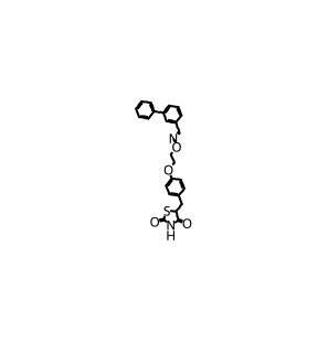 O=C1NC(=O)C(Cc2ccc(OCCON=Cc3cccc(-c4ccccc4)c3)cc2)S1